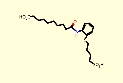 O=C(O)CCCCCCCCC(=O)Nc1ccccc1SCCCCS(=O)(=O)O